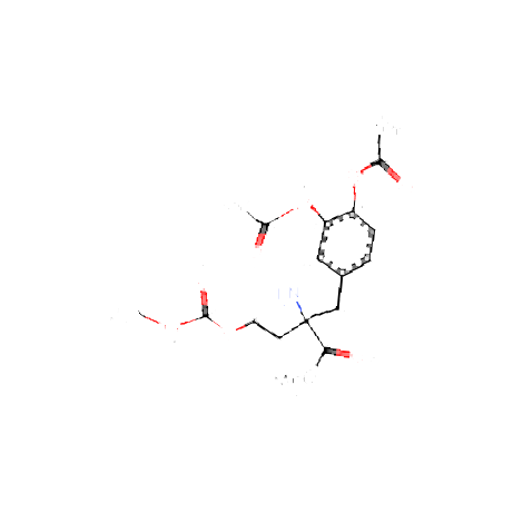 CCCC(=O)Oc1ccc(CC(N)(CCOC(=O)OC[C@@H](C)CC)C(=O)OC)cc1OC(=O)CCC